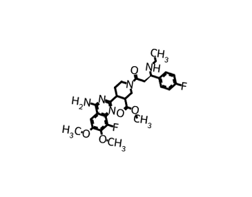 CCN[C@H](CC(=O)N1CCC(c2nc(N)c3cc(OC)c(OC)c(F)c3n2)C(C(=O)OC)C1)c1ccc(F)cc1